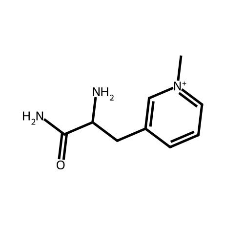 C[n+]1cccc(CC(N)C(N)=O)c1